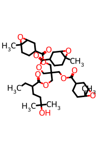 CCC(CCC(C)(C)O)C(=O)OCC(COC(=O)C1CCC2(C)OC2C1)(COC(=O)C1CCC2(C)OC2C1)COC(=O)C1CCC2(C)OC2C1